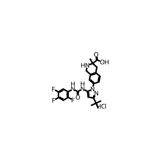 CC1(C(=O)O)Cc2ccc(-n3nc(C(C)(C)C)cc3NC(=O)Nc3cc(F)c(F)cc3F)cc2CN1.Cl